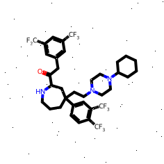 O=C(Cc1cc(C(F)(F)F)cc(C(F)(F)F)c1)C1CC(CCN2CCN(C3CCCCC3)CC2)(c2ccc(C(F)(F)F)c(C(F)(F)F)c2)CCCN1